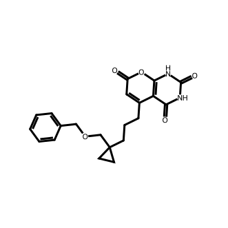 O=c1[nH]c(=O)c2c(CCCC3(COCc4ccccc4)CC3)cc(=O)oc2[nH]1